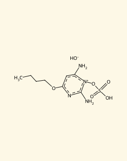 CCCCOc1cc(N)[n+](OS(=O)(=O)O)c(N)n1.[OH-]